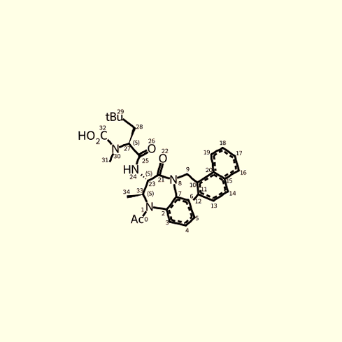 CC(=O)N1c2ccccc2N(Cc2c(C)ccc3ccccc23)C(=O)[C@@H](NC(=O)[C@H](CC(C)(C)C)N(C)C(=O)O)[C@@H]1C